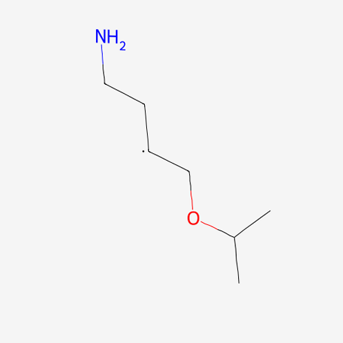 CC(C)OC[CH]CCN